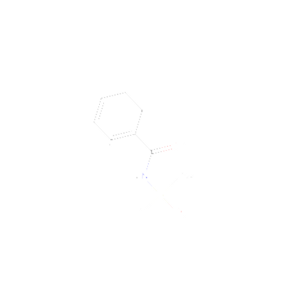 CCCC(C)S(C)(=O)=NC(=O)c1ccccc1